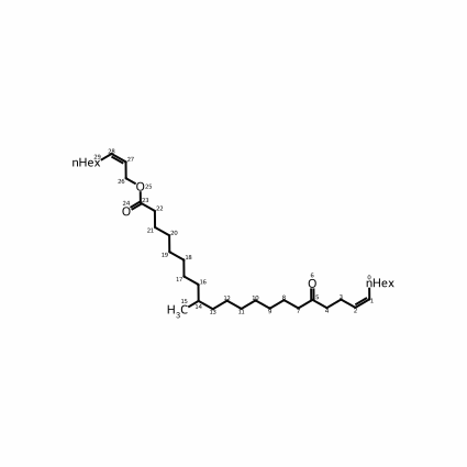 CCCCCC/C=C\CCC(=O)CCCCCCCC(C)CCCCCCCC(=O)OC/C=C\CCCCCC